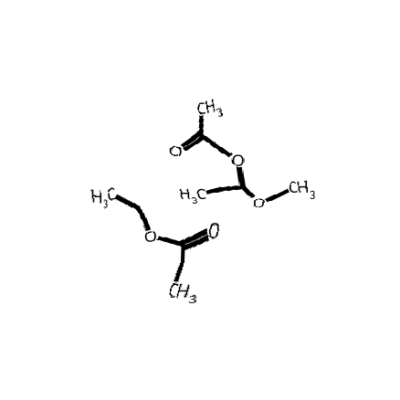 CCOC(C)=O.COC(C)OC(C)=O